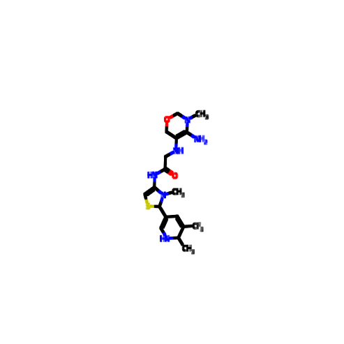 CC1NC=C(C2SC=C(NC(=O)CNC3=C(N)N(C)COC3)N2C)C=C1C(F)(F)F